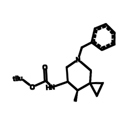 C[C@H]1C(NC(=O)OC(C)(C)C)CN(Cc2ccccc2)CC12CC2